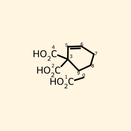 CC(=O)O.O=C(O)C1(C(=O)O)C=CCCC1